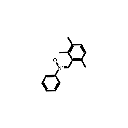 Cc1ccc(C)c(C=[N+]([O-])c2ccccc2)c1C